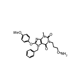 COc1ccc(Oc2nc3c(c(=O)n(CCCON)c(=O)n3C)n2Cc2ccccc2)cc1